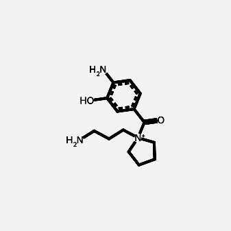 NCCC[N+]1(C(=O)c2ccc(N)c(O)c2)CCCC1